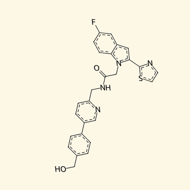 O=C(Cn1c(-c2nccs2)cc2cc(F)ccc21)NCc1ccc(-c2ccc(CO)cc2)cn1